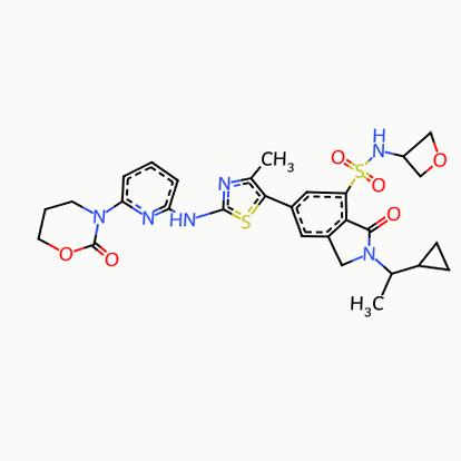 Cc1nc(Nc2cccc(N3CCCOC3=O)n2)sc1-c1cc2c(c(S(=O)(=O)NC3COC3)c1)C(=O)N(C(C)C1CC1)C2